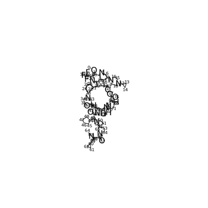 CO[C@@H](C)c1ncc(N2CCN(C3CC3)CC2)cc1-c1c2c3cc(ccc3n1CC(F)(F)F)N1CCO[C@@H](C[C@H](NC(=O)[C@H](C3CCCC3)N3CC[C@]4(CCN(C(=O)[C@H]5[C@@H](C6CC6)N5C)C4)C3)C(=O)N3CCC[C@H](N3)C(=O)OCC(C)(C)C2)C1